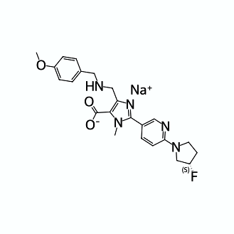 COc1ccc(CNCc2nc(-c3ccc(N4CC[C@H](F)C4)nc3)n(C)c2C(=O)[O-])cc1.[Na+]